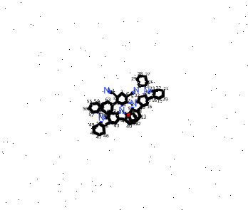 N#Cc1cc(C#N)c(-n2c3ccccc3c3cc4c5ccccc5n(-c5ccccc5)c4cc32)c(-n2c3ccccc3c3cc4c5ccccc5n(-c5ccccc5)c4cc32)c1-c1ccccc1